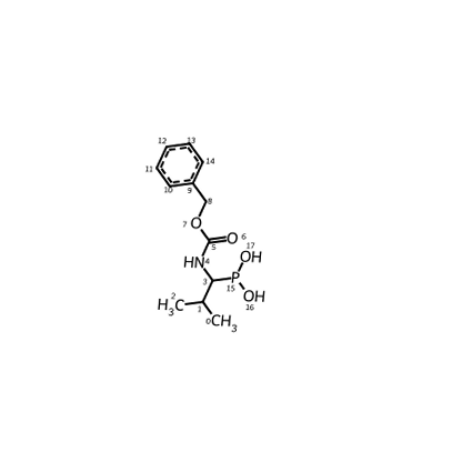 CC(C)C(NC(=O)OCc1ccccc1)P(O)O